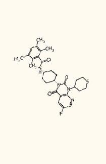 Cc1cc(C)c(C)c(C(=O)N[C@H]2CC[C@@H](n3c(=O)c4cc(F)cnc4n(C4CCSCC4)c3=O)CC2)c1C